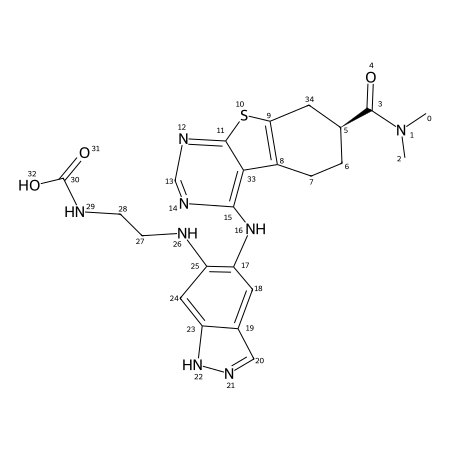 CN(C)C(=O)[C@H]1CCc2c(sc3ncnc(Nc4cc5cn[nH]c5cc4NCCNC(=O)O)c23)C1